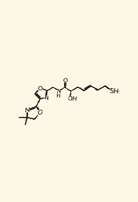 CC1(C)COC(c2coc(CNC(=O)[C@H](O)C/C=C/CCS)n2)=N1